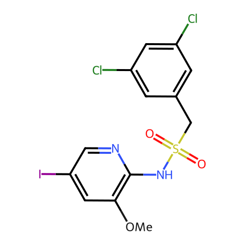 COc1cc(I)cnc1NS(=O)(=O)Cc1cc(Cl)cc(Cl)c1